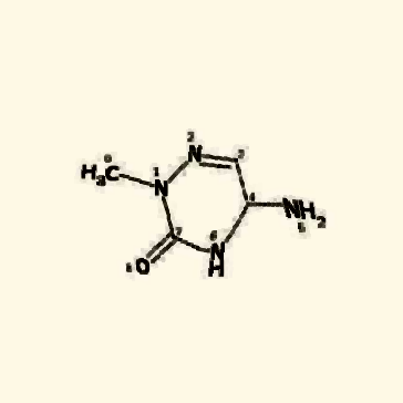 CN1N=CC(N)NC1=O